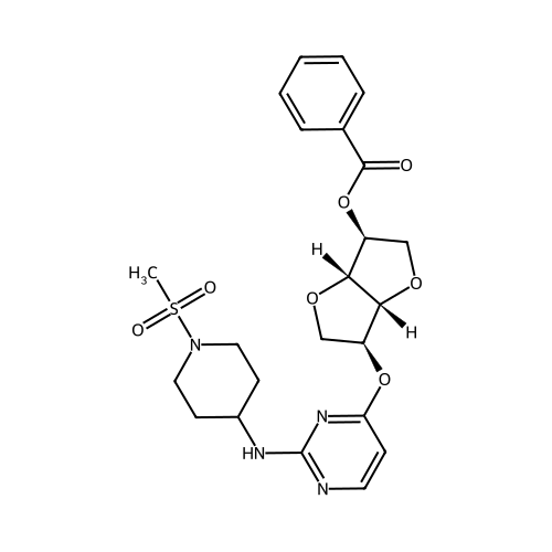 CS(=O)(=O)N1CCC(Nc2nccc(O[C@H]3CO[C@H]4[C@@H]3OC[C@@H]4OC(=O)c3ccccc3)n2)CC1